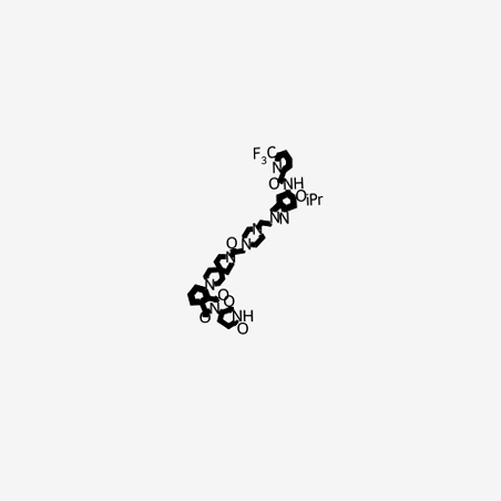 CC(C)Oc1cc2nn(CCN3CCN(CC(=O)N4CCC5(CC4)CCN(c4cccc6c4C(=O)N(C4CCC(=O)NC4=O)C6=O)CC5)CC3)cc2cc1NC(=O)c1cccc(C(F)(F)F)n1